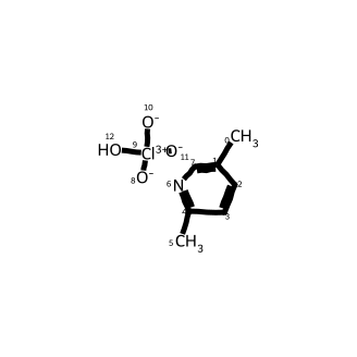 Cc1ccc(C)nc1.[O-][Cl+3]([O-])([O-])O